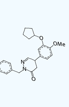 COc1ccc(C2C=NN(Cc3ccccc3)C(=O)C2)cc1OC1CCCC1